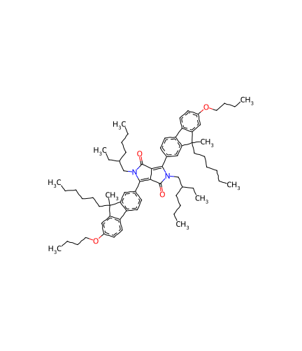 CCCCCCC1(C)c2cc(OCCCC)ccc2-c2ccc(C3=C4C(=O)N(CC(CC)CCCC)C(c5ccc6c(c5)C(C)(CCCCCC)c5cc(OCCCC)ccc5-6)=C4C(=O)N3CC(CC)CCCC)cc21